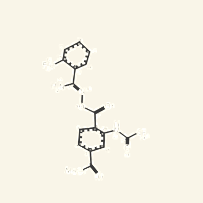 COC(=O)c1ccc(C(=O)ON=C(N)c2ccccc2C(F)(F)F)c(NC(=O)C(F)(F)F)c1